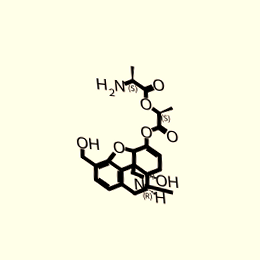 C[C@H](N)C(=O)O[C@@H](C)C(=O)OC1=CC[C@@]2(O)[C@H]3Cc4ccc(CO)c5c4C2(CCN3C)C1O5